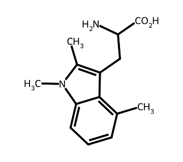 Cc1cccc2c1c(CC(N)C(=O)O)c(C)n2C